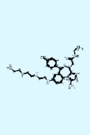 CCNC(=O)C[C@@H]1N=C(c2ccc(Cl)cc2)c2cc(OCCOCCOCCO)ccc2-n2c(C)nnc21